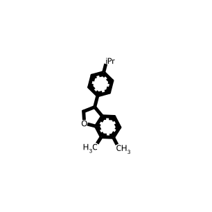 Cc1ccc2c(c1C)OCC2c1ccc(C(C)C)cc1